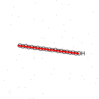 C=CCOCCCCOCCCCOCCCCOCCCCOCCCCOCCCCOCCCCOCCCCOCCCCOCCCCOCCCCOCCCCOCCCCOCCCCOCCCCOCCCCOCCCCOCCCCOCCCCOCCCCO